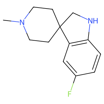 CN1CCC2(CC1)CNc1ccc(F)cc12